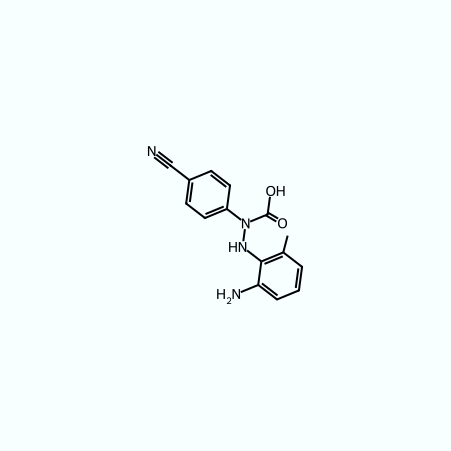 Cc1cccc(N)c1NN(C(=O)O)c1ccc(C#N)cc1